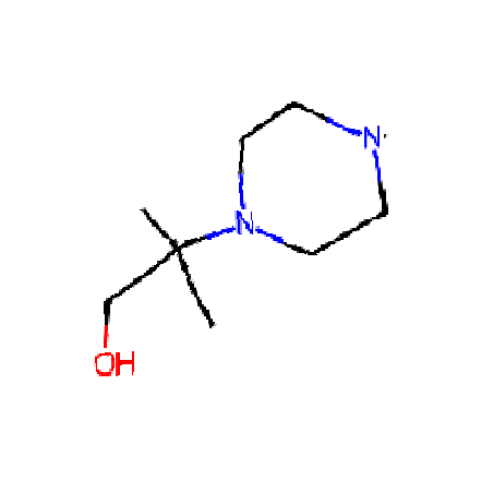 CC(C)(CO)N1CC[N]CC1